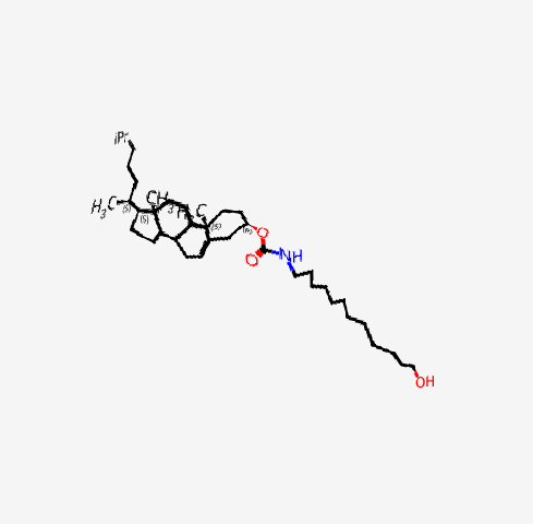 CC(C)CCC[C@H](C)[C@@H]1CCC2C3CC=C4C[C@H](OC(=O)NCCCCCCCCCCCCO)CC[C@@]4(C)C3CC[C@]21C